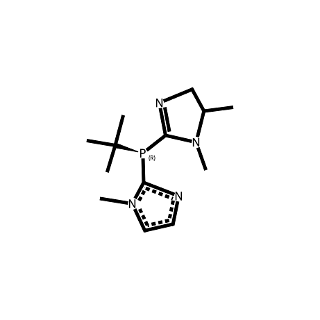 CC1CN=C([P@@](c2nccn2C)C(C)(C)C)N1C